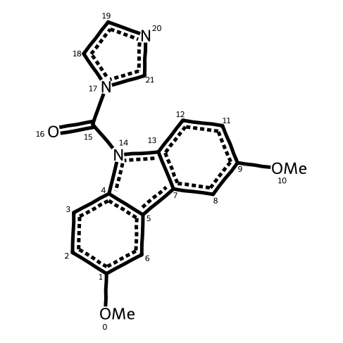 COc1ccc2c(c1)c1cc(OC)ccc1n2C(=O)n1ccnc1